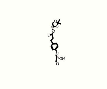 CC1(C)OC[C@@H](COC(=O)CCc2ccc(OC[C@@H](O)CCl)cc2)O1